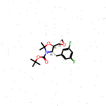 CC(C)(C)OC(=O)N1[C@@H](Cc2cc(F)cc(F)c2)[C@H]([C@@H]2CO2)OC1(C)C